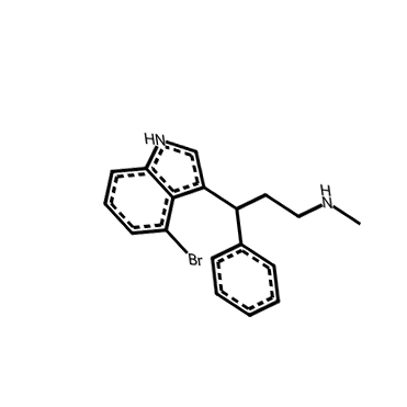 CNCCC(c1ccccc1)c1c[nH]c2cccc(Br)c12